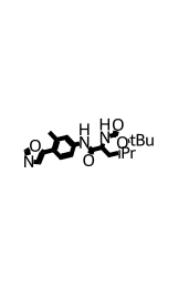 Cc1cc(NC(=O)C(CC(C)C)NC(=O)OC(C)(C)C)ccc1-c1cnco1